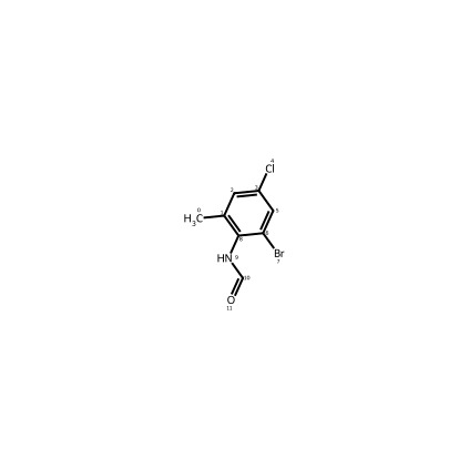 Cc1cc(Cl)cc(Br)c1NC=O